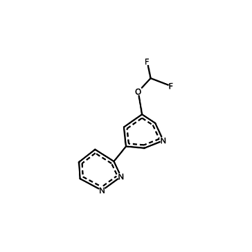 FC(F)Oc1cncc(-c2cccnn2)c1